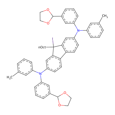 CCCCCCCCC1(I)c2cc(N(c3cccc(C)c3)c3cccc(C4OCCO4)c3)ccc2-c2ccc(N(c3cccc(C)c3)c3cccc(C4OCCO4)c3)cc21